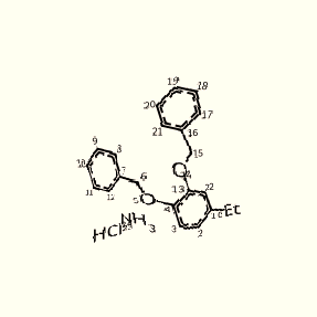 CCc1ccc(OCc2ccccc2)c(OCc2ccccc2)c1.Cl.N